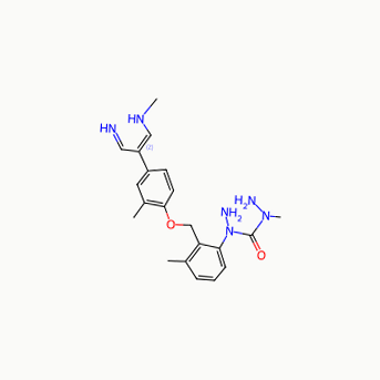 CN/C=C(\C=N)c1ccc(OCc2c(C)cccc2N(N)C(=O)N(C)N)c(C)c1